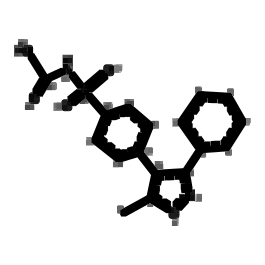 Cc1onc(-c2ccccc2)c1-c1ccc(S(=O)(=O)NC(=O)O)cc1